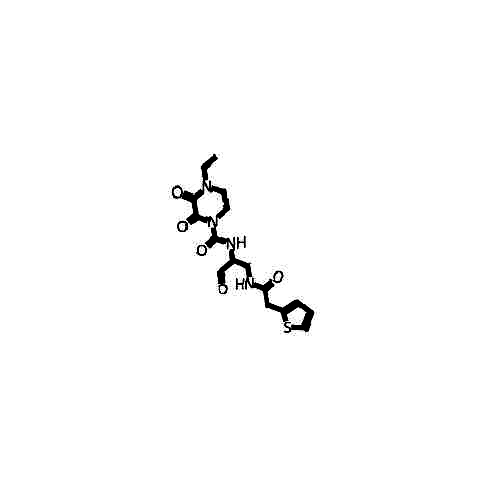 CCN1CCN(C(=O)NC(C=O)CNC(=O)Cc2cccs2)C(=O)C1=O